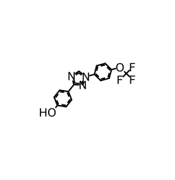 Oc1ccc(-c2ncn(-c3ccc(OC(F)(F)F)cc3)n2)cc1